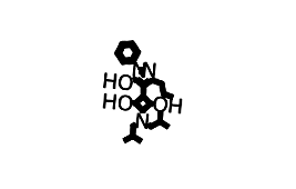 CCCc1nn(-c2ccccc2)c(O)c1C1C(O)C(N(CC(C)C)CC(C)C)C1O